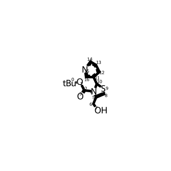 CC(C)(C)OC(=O)N1C(CO)=CSC1c1cccnc1